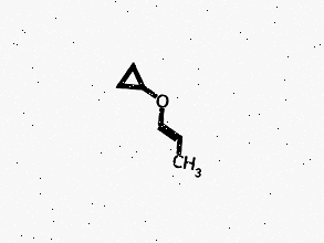 CC=COC1CC1